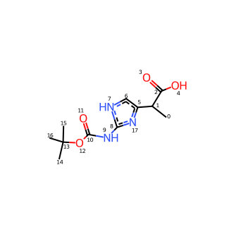 CC(C(=O)O)c1c[nH]c(NC(=O)OC(C)(C)C)n1